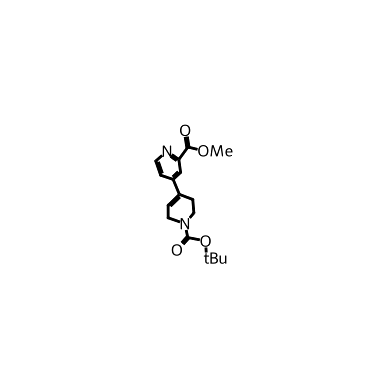 COC(=O)c1cc(C2=CCN(C(=O)OC(C)(C)C)CC2)ccn1